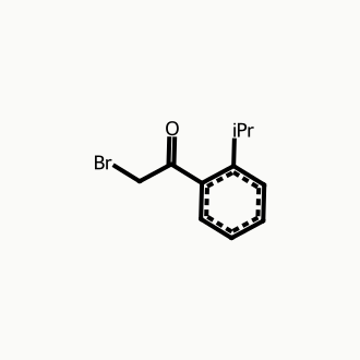 CC(C)c1ccccc1C(=O)CBr